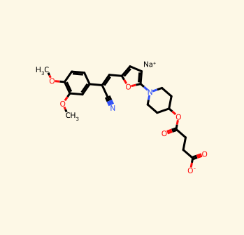 COc1ccc(/C(C#N)=C/c2ccc(N3CCC(OC(=O)CCC(=O)[O-])CC3)o2)cc1OC.[Na+]